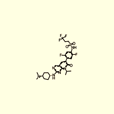 CC(C)n1c(=O)c(-c2cc(F)c(NS(=O)(=O)CCC(F)(F)F)cc2F)cc2cnc(N[C@H]3CC[C@H](N(C)C)CC3)nc21